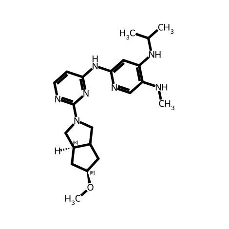 CNc1cnc(Nc2ccnc(N3CC4C[C@@H](OC)C[C@H]4C3)n2)cc1NC(C)C